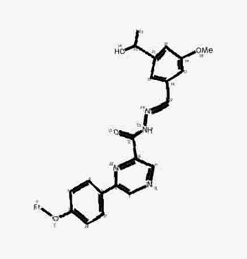 CCOc1ccc(-c2cncc(C(=O)NN=Cc3cc(OC)cc(C(C)O)c3)n2)cc1